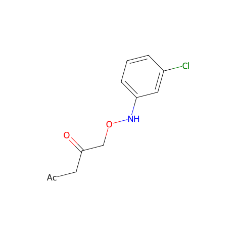 CC(=O)CC(=O)CONc1cccc(Cl)c1